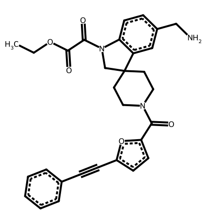 CCOC(=O)C(=O)N1CC2(CCN(C(=O)c3ccc(C#Cc4ccccc4)o3)CC2)c2cc(CN)ccc21